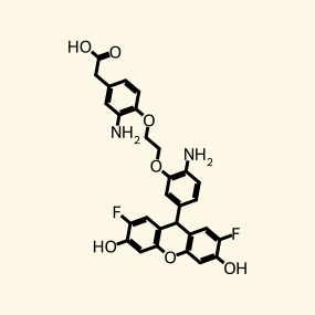 Nc1cc(CC(=O)O)ccc1OCCOc1cc(C2c3cc(F)c(O)cc3Oc3cc(O)c(F)cc32)ccc1N